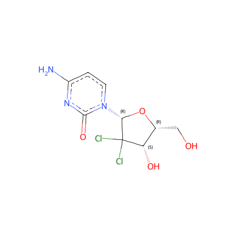 Nc1ccn([C@@H]2O[C@H](CO)[C@H](O)C2(Cl)Cl)c(=O)n1